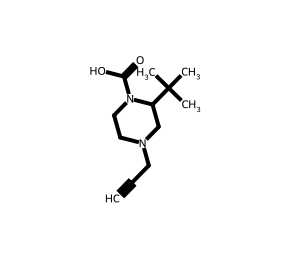 C#CCN1CCN(C(=O)O)C(C(C)(C)C)C1